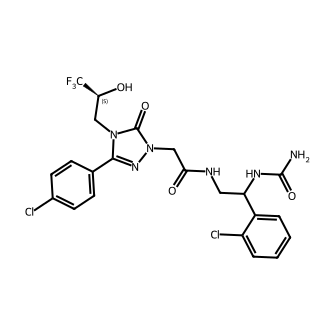 NC(=O)NC(CNC(=O)Cn1nc(-c2ccc(Cl)cc2)n(C[C@H](O)C(F)(F)F)c1=O)c1ccccc1Cl